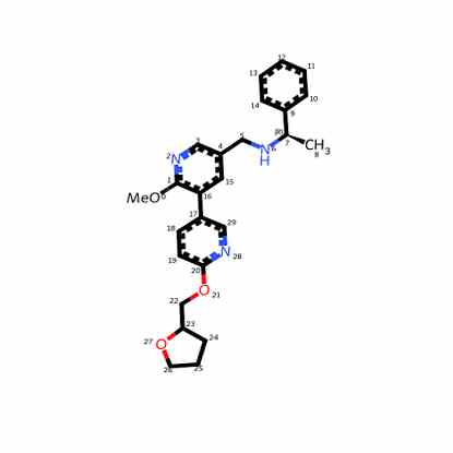 COc1ncc(CN[C@H](C)c2ccccc2)cc1-c1ccc(OCC2CCCO2)nc1